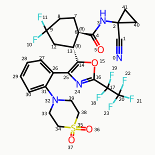 N#CC1(NC(=O)[C@@H]2CCC(F)(F)C[C@H]2c2oc(C(F)(F)C(F)(F)F)nc2-c2ccccc2N2CCS(=O)(=O)CC2)CC1